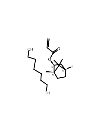 C=CC(=O)O[C@H]1C[C@@H]2CC[C@@]1(C)C2(C)C.OCCCCCCO